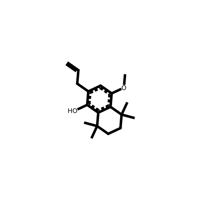 C=CCc1cc(OC)c2c(c1O)C(C)(C)CCC2(C)C